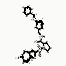 O=C(NCc1cccc(OCc2ccccc2)c1)C1CCCN1S(=O)(=O)c1cc2cc(F)ccc2o1